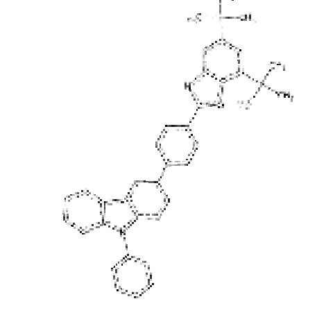 CC(C)(C)c1cc(C(C)(C)C)c2oc(-c3ccc(-c4ccc5c(c4)c4ccccc4n5-c4ccccc4)cc3)nc2c1